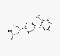 CC(O)CC(C)c1ccc(-c2ccccc2Cl)cc1